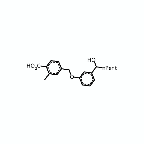 CCCCCC(O)c1cccc(OCc2ccc(C(=O)O)c(C)c2)c1